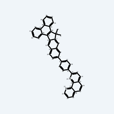 CC1(C)c2cc3cc(-c4ccc(-c5ccc6ccc7cccnc7c6n5)cc4)ccc3cc2-c2c1c1ccccc1c1ccccc21